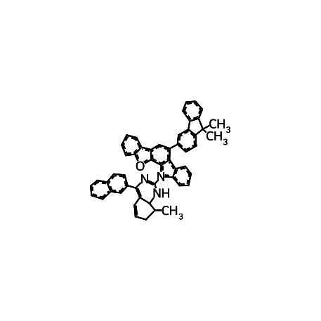 CC1CC=CC2=C(c3ccc4ccccc4c3)N=C(n3c4ccccc4c4c(-c5ccc6c(c5)-c5ccccc5C6(C)C)cc5c6ccccc6oc5c43)NC21